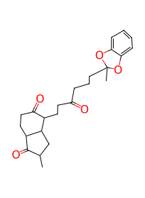 CC1CC2C(CCC(=O)CCCC3(C)Oc4ccccc4O3)C(=O)CCC2C1=O